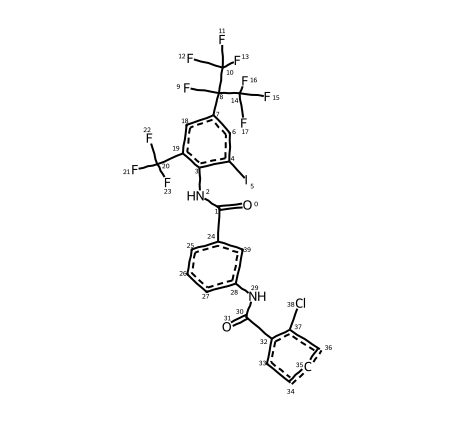 O=C(Nc1c(I)cc(C(F)(C(F)(F)F)C(F)(F)F)cc1C(F)(F)F)c1cccc(NC(=O)c2ccccc2Cl)c1